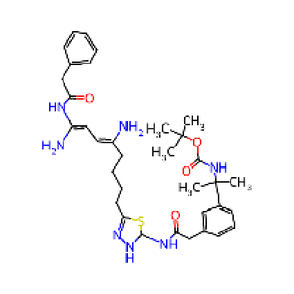 CC(C)(C)OC(=O)NC(C)(C)c1cccc(CC(=O)NC2NN=C(CCCC/C(N)=C/C=C(\N)NC(=O)Cc3ccccc3)S2)c1